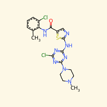 Cc1cccc(Cl)c1NC(=O)c1cnc(Nc2nc(Cl)nc(N3CCN(C)CC3)n2)s1